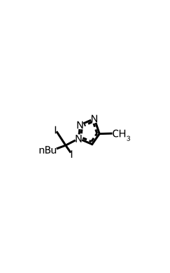 CCCCC(I)(I)n1cc(C)nn1